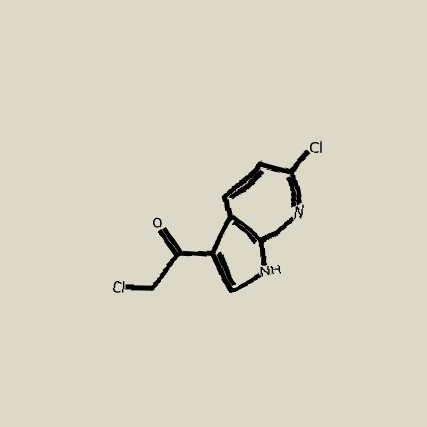 O=C(CCl)c1c[nH]c2nc(Cl)ccc12